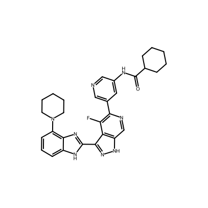 O=C(Nc1cncc(-c2ncc3[nH]nc(-c4nc5c(N6CCCCC6)cccc5[nH]4)c3c2F)c1)C1CCCCC1